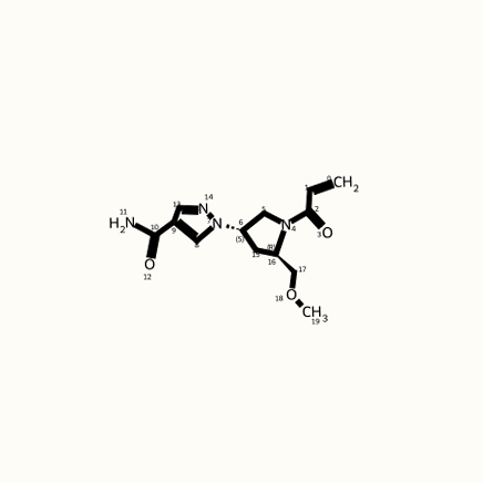 C=CC(=O)N1C[C@@H](n2cc(C(N)=O)cn2)C[C@@H]1COC